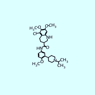 COc1ccc(NC(=O)C2CCc3c(cc(OC)c(OC)c3Cl)NC2)cc1C1CCN(C(C)C)CC1